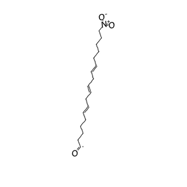 O=[C]CCCCC=CCC=CCC=CCCCCC[N+](=O)[O-]